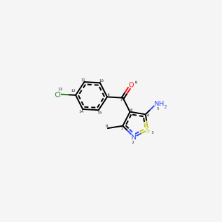 Cc1nsc(N)c1C(=O)c1ccc(Cl)cc1